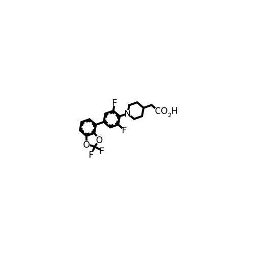 O=C(O)CC1CCN(c2c(F)cc(-c3cccc4c3OC(F)(F)O4)cc2F)CC1